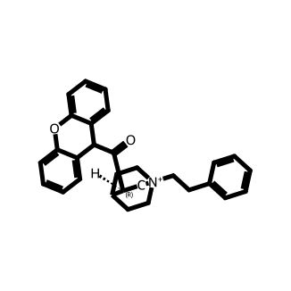 O=C(C1c2ccccc2Oc2ccccc21)[C@H]1C[N+]2(CCc3ccccc3)CCC1CC2